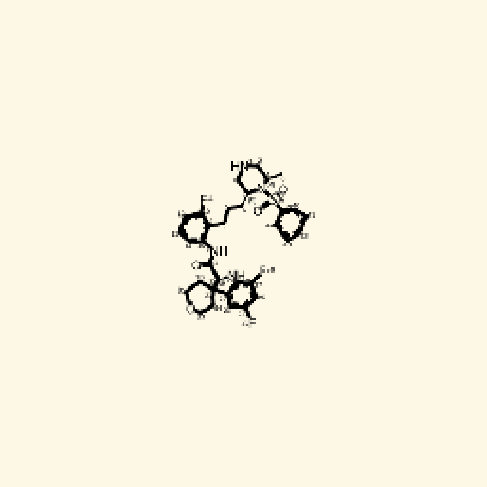 C[C@@H]1CNC[C@H](CCCc2c(F)cccc2NC(=O)[C@@H](N)C2(c3cc(F)cc(F)c3)CCOCC2)N1S(=O)(=O)c1ccccc1